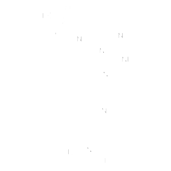 CN(C)C1CCN(c2ccc(Nc3ncc4cc(S(C)(=O)=O)n(C5CCCC5)c4n3)nc2)CC1